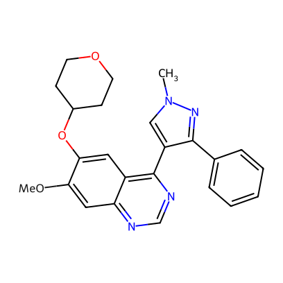 COc1cc2ncnc(-c3cn(C)nc3-c3ccccc3)c2cc1OC1CCOCC1